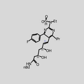 CCCCNC(=O)C[C@H](O)C[C@H](O)/C=C/c1c(-c2ccc(F)cc2)nc(N(CC)[SH](=O)=O)nc1C(C)C